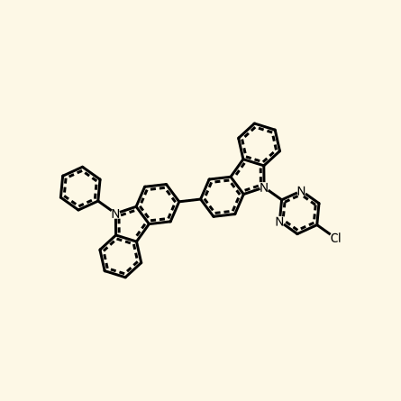 Clc1cnc(-n2c3ccccc3c3cc(-c4ccc5c(c4)c4ccccc4n5-c4ccccc4)ccc32)nc1